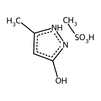 CS(=O)(=O)O.Cc1cc(O)n[nH]1